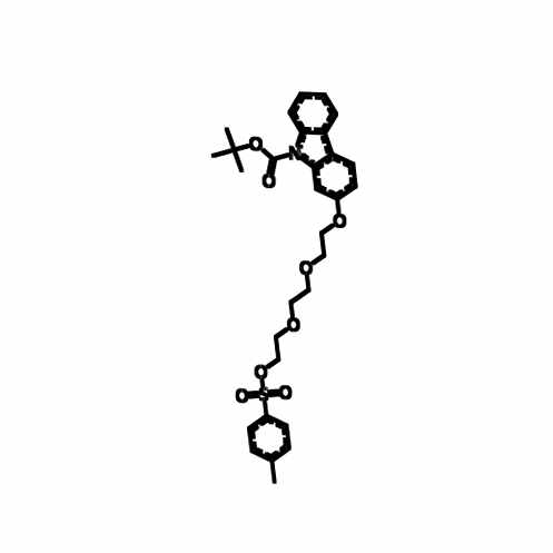 Cc1ccc(S(=O)(=O)OCCOCCOCCOc2ccc3c4ccccc4n(C(=O)OC(C)(C)C)c3c2)cc1